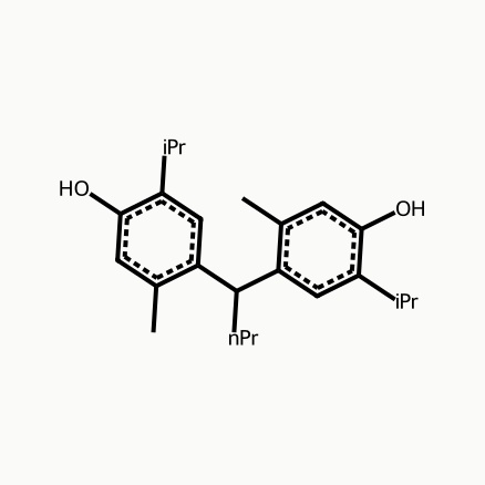 CCCC(c1cc(C(C)C)c(O)cc1C)c1cc(C(C)C)c(O)cc1C